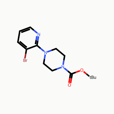 CC(C)(C)OC(=O)N1CCN(c2ncccc2Br)CC1